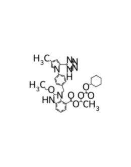 CCOC1Nc2cccc(C(=O)OC(C)OC(=O)OC3CCCCC3)c2N1Cc1ccc(-n2cc(C)cc2-c2nnn[nH]2)cc1